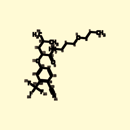 CCCOCCCNC(=O)C(CC(C)C)Oc1ccc(C#N)c(C(F)(F)F)c1